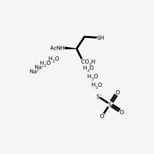 CC(=O)N[C@@H](CS)C(=O)O.O.O.O.O.O.O=S(=O)([O-])[S-].[Na+].[Na+]